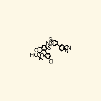 Cc1cc2nc(-n3cc(-c4ccc5c(cnn5C)c4)ccc3=O)sc2c(-c2ccc(Cl)cc2)c1[C@H](OC(C)(C)C)C(=O)O